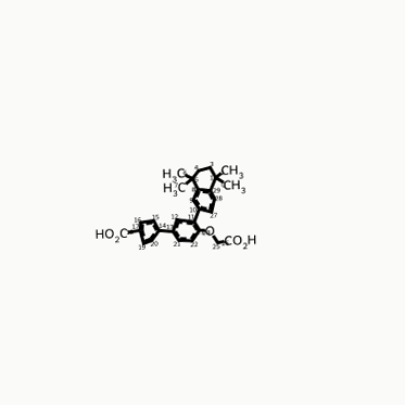 CC1(C)CCC(C)(C)c2cc(-c3cc(-c4ccc(C(=O)O)cc4)ccc3OCC(=O)O)ccc21